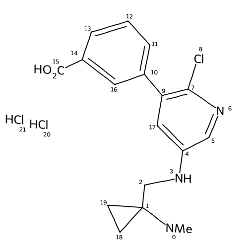 CNC1(CNc2cnc(Cl)c(-c3cccc(C(=O)O)c3)c2)CC1.Cl.Cl